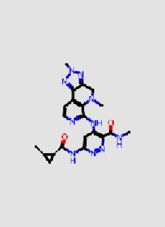 CNC(=O)c1nnc(NC(=O)[C@H]2C[C@H]2C)cc1Nc1nccc2c1N(C)Cc1nn(C)nc1-2